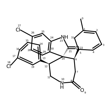 CC1=CC=CC([C@H]2CC(=O)NC[C@@H](c3cccc(Cl)c3)[C@]23C(=O)Nc2cc(Cl)ccc23)C1